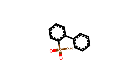 O=S(=O)(S)c1ccccc1-c1ccccc1